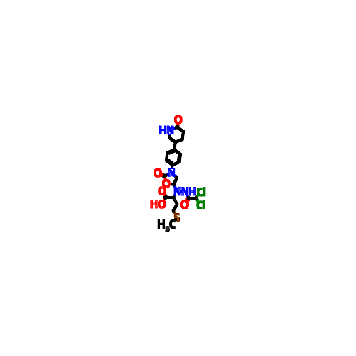 CSCC[C@@H](C(=O)O)N(NC(=O)C(Cl)Cl)[C@@H]1CN(c2ccc(C3CCC(=O)NC3)cc2)C(=O)O1